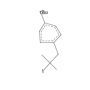 CC(C)(I)Cc1ccc(C(C)(C)C)cc1